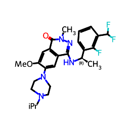 COc1cc2c(=O)n(C)nc(N[C@H](C)c3cccc(C(F)F)c3F)c2cc1N1CCN(C(C)C)CC1